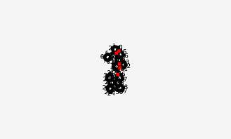 c1ccc(-c2ccccc2N(c2ccc(-c3ccc4c(c3)C3(c5ccccc5-c5ccccc53)c3ccccc3-4)cc2)c2ccccc2-c2ccccc2)cc1